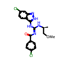 COC[C@H](C)N/C(=N/C(=O)c1ccc(Cl)cc1)Nc1[nH]nc2cc(Cl)ccc12